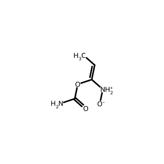 CC=C([NH2+][O-])OC(N)=O